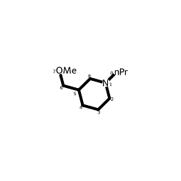 CCCN1CCCC(COC)C1